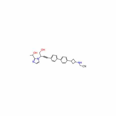 CC(O)c1nccn1C(C#Cc1ccc(-c2ccc(C3CC(NCC#N)C3)cc2)cc1)CO